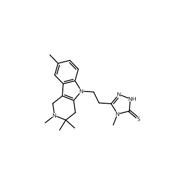 Cc1ccc2c(c1)c1c(n2CCc2n[nH]c(=S)n2C)CC(C)(C)N(C)C1